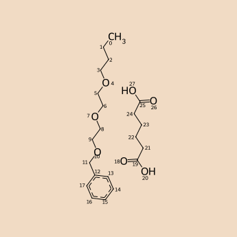 CCCCOCCOCCOCc1ccccc1.O=C(O)CCCCC(=O)O